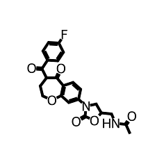 CC(=O)NCC1CN(c2ccc3c(c2)OCCC(C(=O)c2ccc(F)cc2)C3=O)C(=O)O1